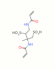 C=CC(=O)NCC(C(C)(CS(=O)(=O)O)NC(=O)C=C)S(=O)(=O)O